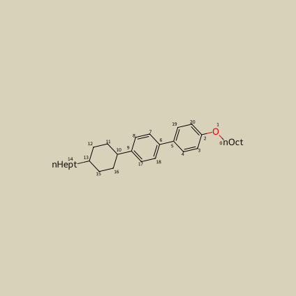 CCCCCCCCOc1ccc(-c2ccc(C3CCC(CCCCCCC)CC3)cc2)cc1